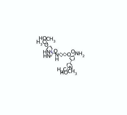 CC(C)(O)COC1=CN/C(=C(\C=N)C(=O)NC2CC3(C2)CC(Oc2cc(-c4ccc(C(C)(C)O)nc4)ccc2C(N)=O)C3)C=C1